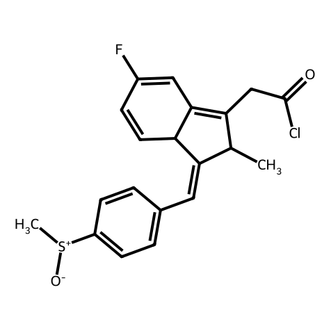 CC1C(CC(=O)Cl)=C2C=C(F)C=CC2/C1=C\c1ccc([S+](C)[O-])cc1